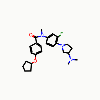 CN(C(=O)c1ccc(OC2CCCC2)cc1)c1ccc(N2CCC(N(C)C)C2)c(F)c1